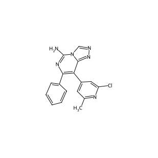 Cc1cc(-c2c(-c3ccccc3)nc(N)n3cnnc23)cc(Cl)n1